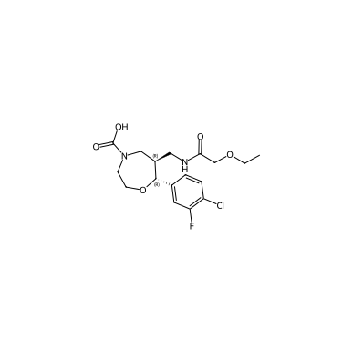 CCOCC(=O)NC[C@@H]1CN(C(=O)O)CCO[C@H]1c1ccc(Cl)c(F)c1